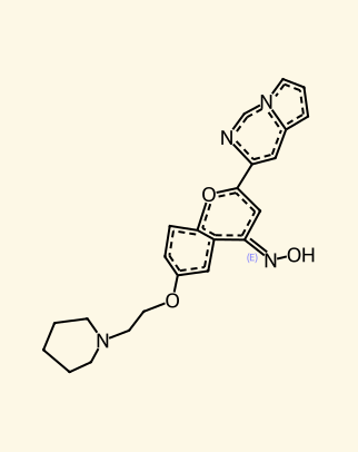 O/N=c1\cc(-c2cc3cccn3cn2)oc2ccc(OCCN3CCCCC3)cc12